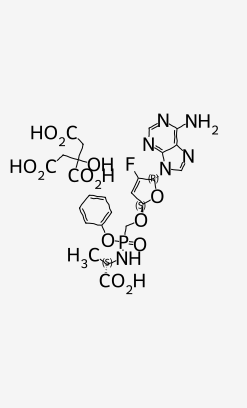 C[C@H](NP(=O)(CO[C@H]1C=C(F)[C@H](n2cnc3c(N)ncnc32)O1)Oc1ccccc1)C(=O)O.O=C(O)CC(O)(CC(=O)O)C(=O)O